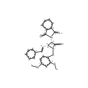 COc1ccc(CN2C(=O)[C@@H](N3C(=O)c4ccccc4C3=O)[C@H]2C=Cc2ccccc2)c(OC)c1